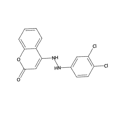 O=c1cc(NNc2ccc(Cl)c(Cl)c2)c2ccccc2o1